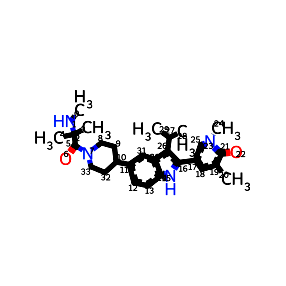 CNC(C)(C)C(=O)N1CCC(c2ccc3[nH]c(-c4cc(C)c(=O)n(C)c4)c(C(C)C)c3c2)CC1